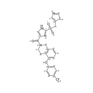 O=C(c1c[nH]c(S(=O)(=O)Cc2cncs2)n1)N1CCc2c(cccc2Oc2ccc(C(F)(F)F)cc2)C1